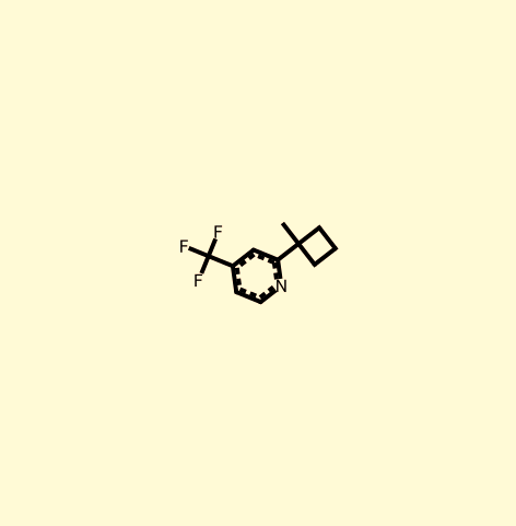 CC1(c2cc(C(F)(F)F)ccn2)CCC1